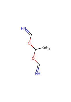 N=COC([SiH3])OC=N